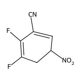 N#CC1=CC([N+](=O)[O-])CC(F)=C1F